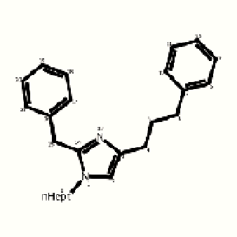 CCCCCCCn1cc(CCCc2ccccc2)nc1Cc1ccccc1